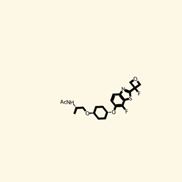 CC(=O)N[C@@H](C)CO[C@H]1CC[C@H](Oc2ccc3nc(C4(F)COC4)sc3c2F)CC1